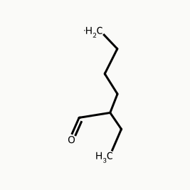 [CH2]CCCC(C=O)CC